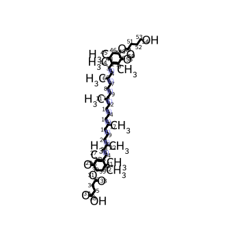 CC1=C(/C=C/C(C)=C/C=C/C(C)=C/C=C/C=C(C)/C=C/C=C(C)/C=C/C2=C(C)C(=O)C(OC(=O)CCC(=O)O)CC2(C)C)C(C)(C)CC(OC(=O)CCCO)C1=O